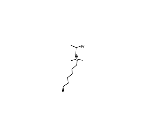 C=CCCCCCS(C)(C)#CC(C)C(C)C